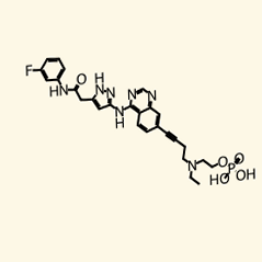 CCN(CCC#Cc1ccc2c(Nc3cc(CC(=O)Nc4cccc(F)c4)[nH]n3)ncnc2c1)CCOP(=O)(O)O